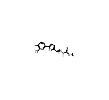 Cc1ccc(-c2ccc(/C=N/NC(N)=S)o2)cc1Cl